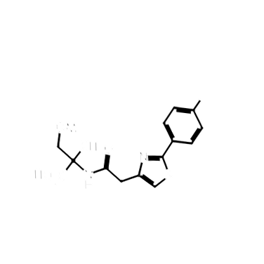 COCC(C)(NC(=O)Cc1csc(-c2ccc(F)cc2)n1)C(=O)O